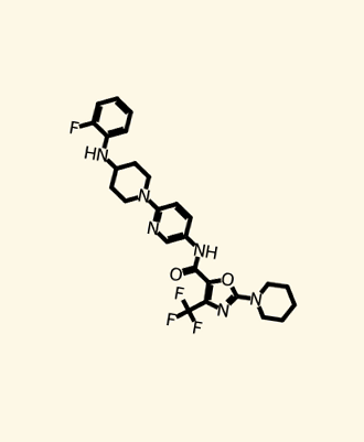 O=C(Nc1ccc(N2CCC(Nc3ccccc3F)CC2)nc1)c1oc(N2CCCCC2)nc1C(F)(F)F